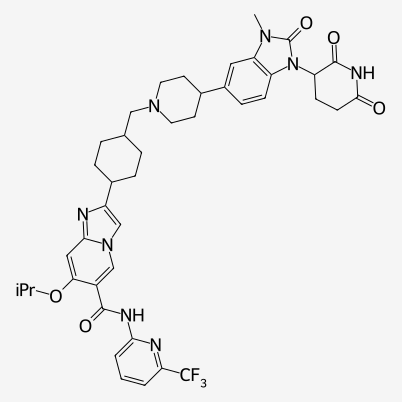 CC(C)Oc1cc2nc(C3CCC(CN4CCC(c5ccc6c(c5)n(C)c(=O)n6C5CCC(=O)NC5=O)CC4)CC3)cn2cc1C(=O)Nc1cccc(C(F)(F)F)n1